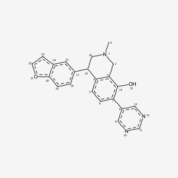 CN1Cc2c(ccc(-c3cncnc3)c2O)C(c2ccc3occc3c2)C1